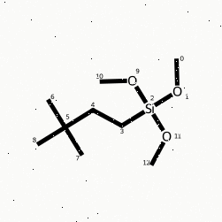 CO[Si](CCC(C)(C)C)(OC)OC